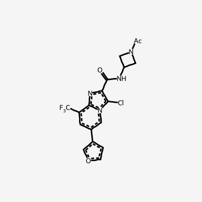 CC(=O)N1CC(NC(=O)c2nc3c(C(F)(F)F)cc(-c4ccoc4)cn3c2Cl)C1